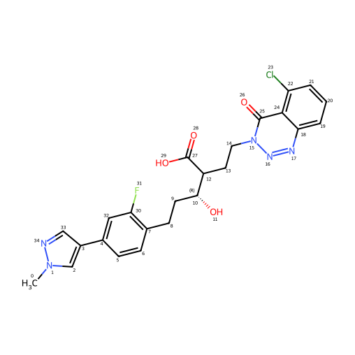 Cn1cc(-c2ccc(CC[C@@H](O)C(CCn3nnc4cccc(Cl)c4c3=O)C(=O)O)c(F)c2)cn1